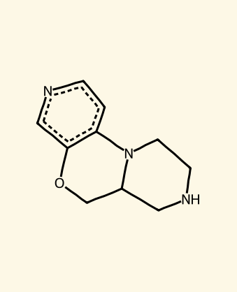 c1cc2c(cn1)OCC1CNCCN21